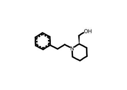 OC[C@H]1CCCCN1CCc1ccccc1